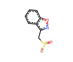 O=[SH](=O)Cc1noc2ccccc12